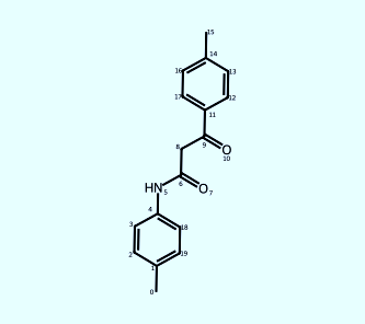 Cc1ccc(NC(=O)CC(=O)c2ccc(C)cc2)cc1